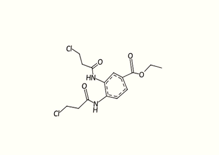 CCOC(=O)c1ccc(NC(=O)CCCl)c(NC(=O)CCCl)c1